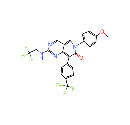 COc1ccc(-n2cc3cnc(NCC(F)(F)F)nc3c(-c3ccc(C(F)(F)F)cc3)c2=O)cc1